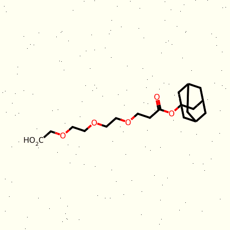 O=C(O)COCCOCCOCCC(=O)OC12CC3CC(CC(C3)C1)C2